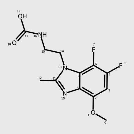 COc1cc(F)c(F)c2c1nc(C)n2CCNC(=O)O